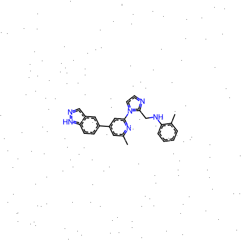 Cc1cc(-c2ccc3[nH]ncc3c2)cc(-n2ccnc2CNc2ccccc2C)n1